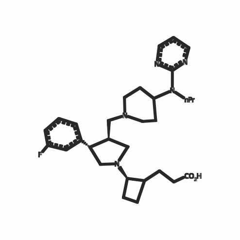 CCCN(c1ncccn1)C1CCN(C[C@H]2CN([C@@H]3CCC3CCC(=O)O)C[C@@H]2c2cccc(F)c2)CC1